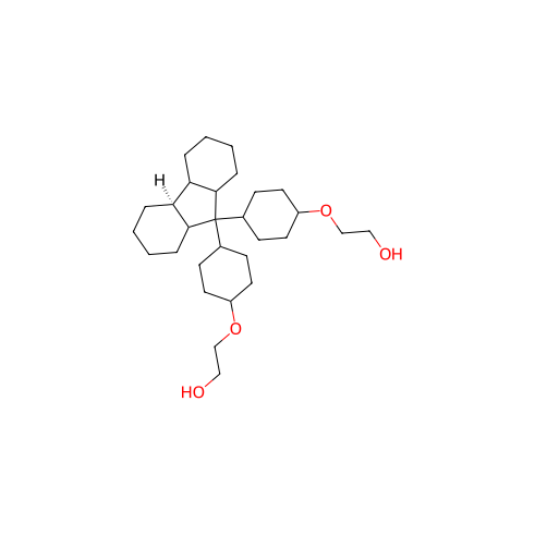 OCCOC1CCC(C2(C3CCC(OCCO)CC3)C3CCCCC3[C@@H]3CCCCC32)CC1